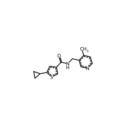 Cc1ccncc1CNC(=O)c1csc(C2CC2)c1